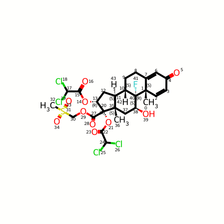 C[C@]12C=CC(=O)C=C1CC[C@H]1[C@@H]3C[C@@H](OC(=O)C(Cl)Cl)[C@](OC(=O)C(Cl)Cl)(C(=O)OCS(C)(=O)=O)[C@@]3(C)C[C@H](O)[C@@]12F